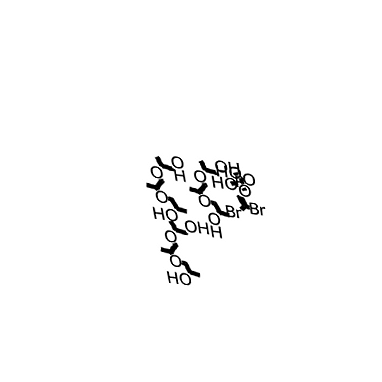 CC(O)COC(C)COC(C)CO.CC(O)COC(C)COC(C)CO.CC(O)COC(C)COC(C)CO.O=P(O)(O)OC=C(Br)Br